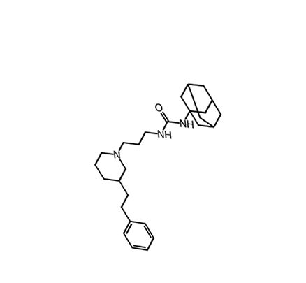 O=C(NCCCN1CCCC(CCc2ccccc2)C1)NC12CC3CC(CC(C3)C1)C2